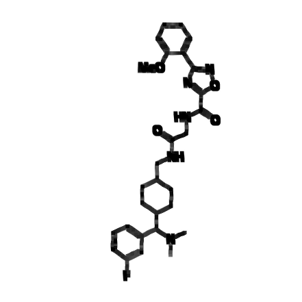 COc1ccccc1-c1noc(C(=O)NCC(=O)NCC2CCC(C(c3cccc(F)c3)N(C)C)CC2)n1